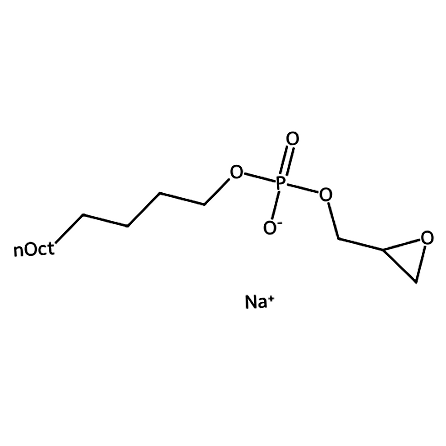 CCCCCCCCCCCCOP(=O)([O-])OCC1CO1.[Na+]